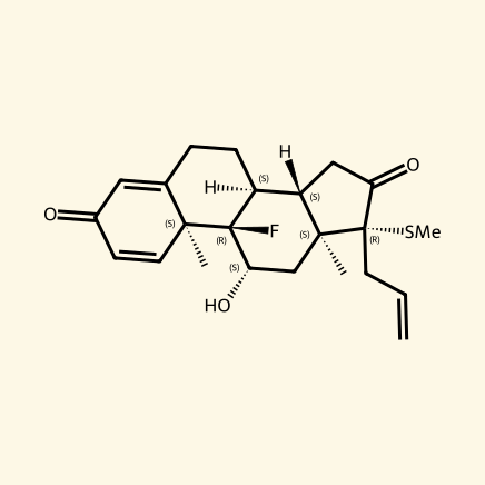 C=CC[C@]1(SC)C(=O)C[C@H]2[C@@H]3CCC4=CC(=O)C=C[C@]4(C)[C@@]3(F)[C@@H](O)C[C@@]21C